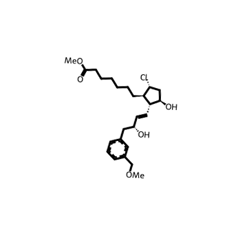 COCc1cccc(C[C@@H](O)/C=C/[C@@H]2[C@@H](CCCCCCC(=O)OC)[C@H](Cl)C[C@H]2O)c1